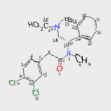 CN(C(=O)Cc1ccc(Cl)c(Cl)c1)[C@H](CN(C(=O)O)C(C)(C)C)c1ccccc1